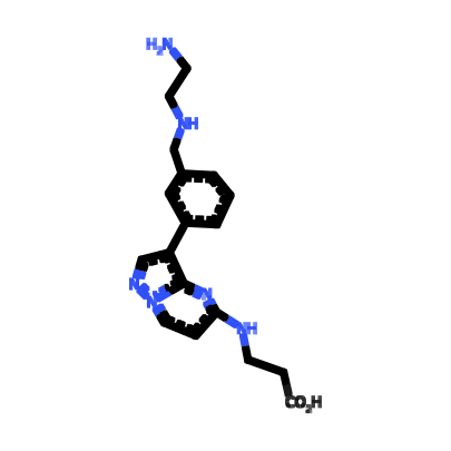 NCCNCc1cccc(-c2cnn3ccc(NCCC(=O)O)nc23)c1